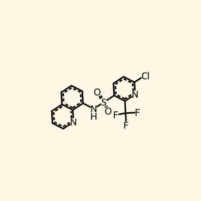 O=S(=O)(Nc1cccc2cccnc12)c1ccc(Cl)nc1C(F)(F)F